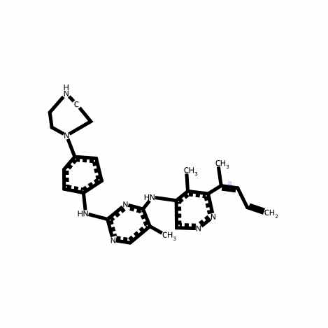 C=C/C=C(/C)c1nncc(Nc2nc(Nc3ccc(N4CCNCC4)cc3)ncc2C)c1C